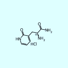 Cl.NC(=O)[C@@H](N)Cc1ccc[nH]c1=O